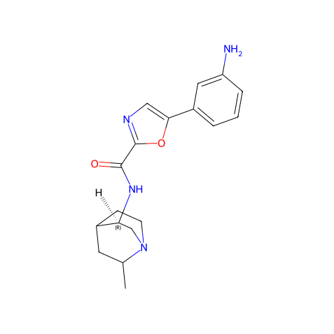 CC1CC2CCN1C[C@@H]2NC(=O)c1ncc(-c2cccc(N)c2)o1